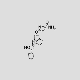 NC(=O)c1ccc(Oc2ccc3c(c2)CCCC3NCC(O)c2ccccc2)nc1